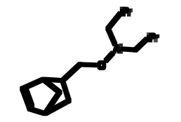 CC(C)[CH2][Al]([CH2]C(C)C)[O]CC1CC2C=CC1C2